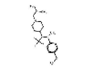 COc1ccc(N(C)C(C2CCN(C[C](C)C)CC2)C(F)(F)F)cc1